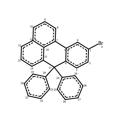 Brc1ccc2c(c1)-c1cccc3cccc(c13)C2(c1ccccc1)c1ccccc1